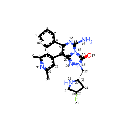 Cc1cc(-c2c(-c3ccccc3)nc(N)n3c(=O)n(C[C@@H]4C[C@@H](F)CN4)nc23)cc(C)n1